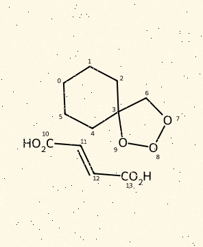 C1CCC2(CC1)COOO2.O=C(O)C=CC(=O)O